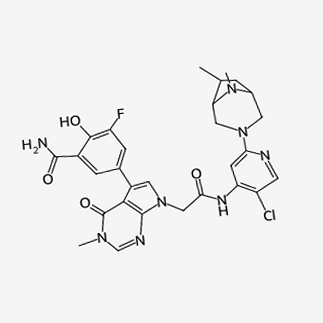 CC1CC2CN(c3cc(NC(=O)Cn4cc(-c5cc(F)c(O)c(C(N)=O)c5)c5c(=O)n(C)cnc54)c(Cl)cn3)CC1N2C